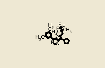 Cc1cc(C)cc(-c2ncnc3c(C4CCCC4)c(CC(C)(C)C(F)(F)F)sc23)c1